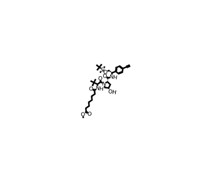 C#Cc1ccc([C@H](CO[Si](C)(C)C(C)(C)C)NC(=O)[C@@H]2C[C@@H](O)CN2C(=O)C(NC(=O)CCCCCCC(=O)OC)C(C)(C)C)cc1